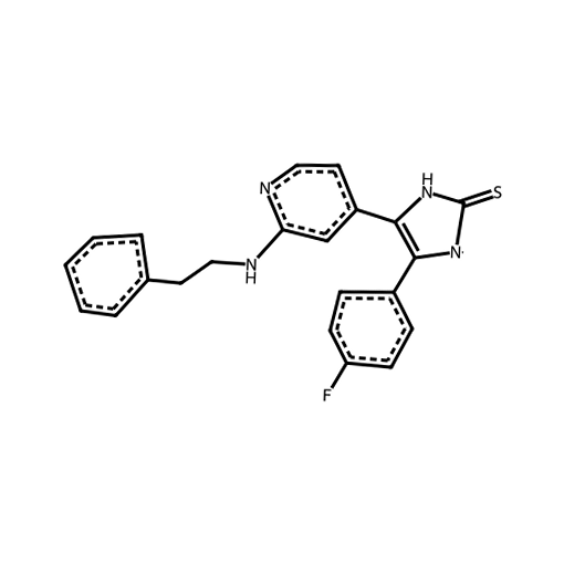 Fc1ccc(C2=C(c3ccnc(NCCc4ccccc4)c3)NC(=S)[N]2)cc1